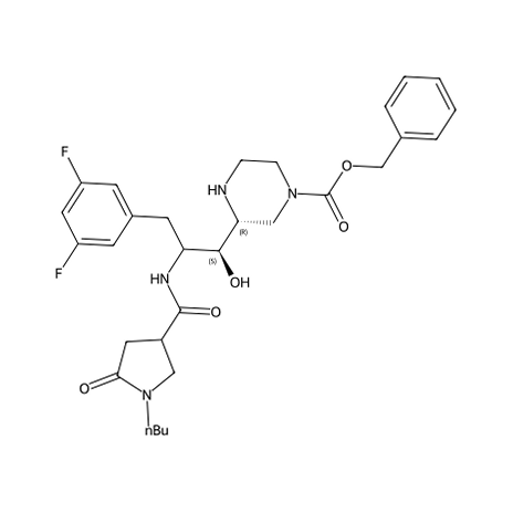 CCCCN1CC(C(=O)NC(Cc2cc(F)cc(F)c2)[C@H](O)[C@H]2CN(C(=O)OCc3ccccc3)CCN2)CC1=O